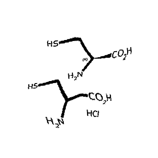 Cl.NC(CS)C(=O)O.N[C@@H](CS)C(=O)O